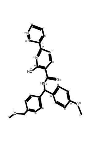 COCc1ccc(C(NC(=O)c2cnc(-c3cccnn3)nc2O)c2ccc(OC)cc2)cc1